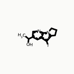 CC(O)c1cnc2c(c1)c(I)c1n2CCC1